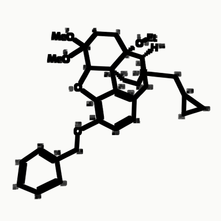 CCO[C@@]12CCC(OC)(OC)C3Oc4c(OCc5ccccc5)ccc5c4[C@@]31CCN(CC1CC1)[C@@H]2C5